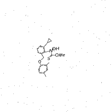 COC(=S)N(O)c1c(COc2ccc(C)cc2C)cccc1C1CC1